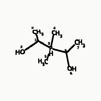 CC(O)[PH](C)(C)C(C)O